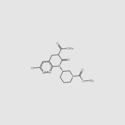 COC(=O)C1Cc2cc(Cl)nnc2N([C@@H]2CCCN(C(=O)OC(C)(C)C)C2)C1=O